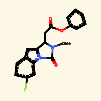 CON1C(=O)n2c(cc3ccc(F)cc32)C1CC(=O)Oc1ccccc1